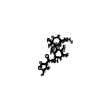 Cc1nc(C(=O)Nc2cc(F)c(F)c([C@@]3(CF)N=C(N)CCC3(F)F)c2)co1